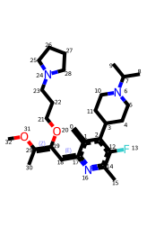 C=c1c(C2CCN(C(C)C)CC2)c(F)c(C)n/c1=C/C(OCCCN1CCCC1)=C(\C)OC